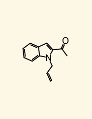 C=CCn1c(C(C)=O)cc2ccccc21